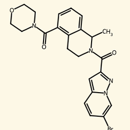 CC1c2cccc(C(=O)N3CCOCC3)c2CCN1C(=O)c1cc2ccc(Br)cn2n1